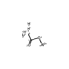 CC(=O)[O][Al+2].[H-].[H-].[H-].[Li+]